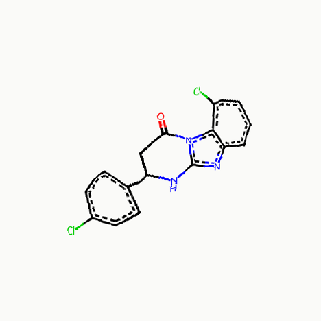 O=C1CC(c2ccc(Cl)cc2)Nc2nc3cccc(Cl)c3n21